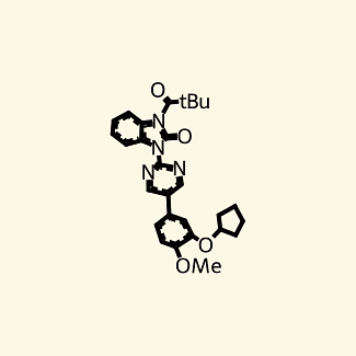 COc1ccc(-c2cnc(-n3c(=O)n(C(=O)C(C)(C)C)c4ccccc43)nc2)cc1OC1CCCC1